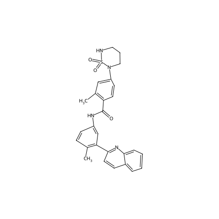 Cc1cc(N2CCCNS2(=O)=O)ccc1C(=O)Nc1ccc(C)c(-c2ccc3ccccc3n2)c1